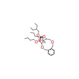 CCCCOC1C2OCc3ccccc3COCC(O[C@H]1OCC(CC)CC)[C@H]2OCCCC